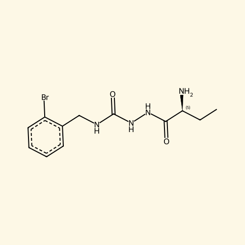 CC[C@H](N)C(=O)NNC(=O)NCc1ccccc1Br